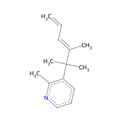 C=C/C=C(\C)C(C)(C)c1cccnc1C